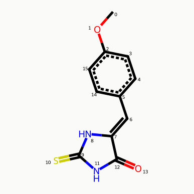 COc1ccc(/C=C2\NC(=S)NC2=O)cc1